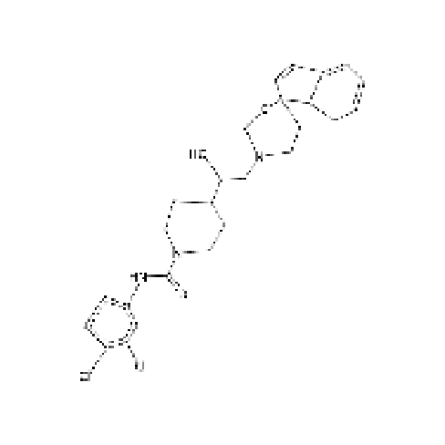 O=C(Nc1ccc(Cl)c(Cl)c1)N1CCC(C(O)CN2CCC3(C=CC4=CC=CCC43)CC2)CC1